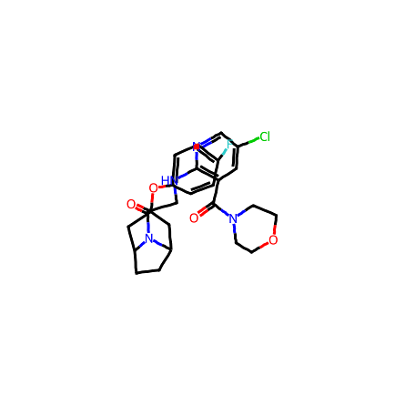 O=C(c1cc(Cl)cnc1NCC(=O)N1C2CCC1CC(Oc1ccc(F)cc1)C2)N1CCOCC1